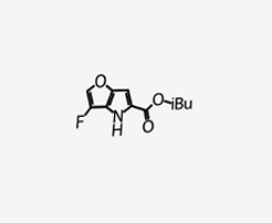 CCC(C)OC(=O)c1cc2occ(F)c2[nH]1